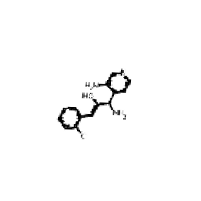 Nc1cnccc1C(N)C(O)=Cc1ccccc1Cl